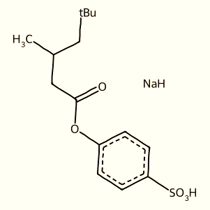 CC(CC(=O)Oc1ccc(S(=O)(=O)O)cc1)CC(C)(C)C.[NaH]